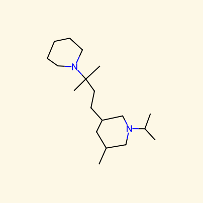 CC1CC(CCC(C)(C)N2CCCCC2)CN(C(C)C)C1